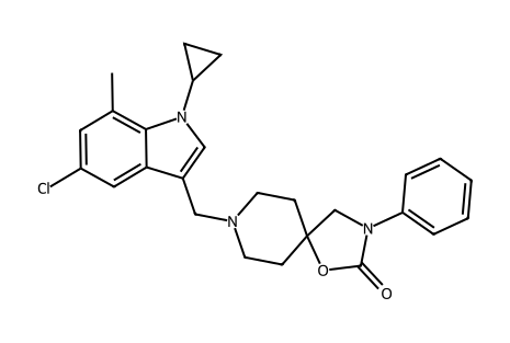 Cc1cc(Cl)cc2c(CN3CCC4(CC3)CN(c3ccccc3)C(=O)O4)cn(C3CC3)c12